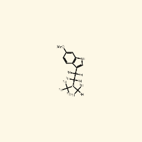 [2H]C([2H])([2H])N(C([2H])([2H])[2H])C([2H])([2H])C([2H])([2H])c1c[nH]c2cc(OC)ccc12